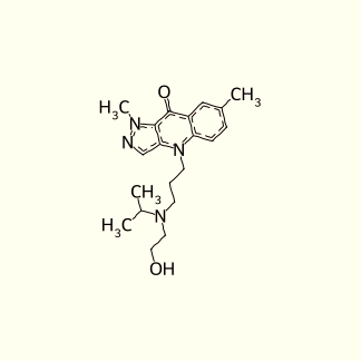 Cc1ccc2c(c1)c(=O)c1c(cnn1C)n2CCCN(CCO)C(C)C